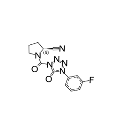 N#C[C@@H]1CCCN1C(=O)n1nnn(-c2cccc(F)c2)c1=O